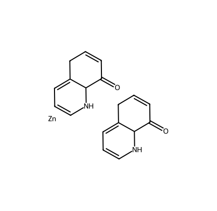 O=C1C=CCC2=CC=CNC12.O=C1C=CCC2=CC=CNC12.[Zn]